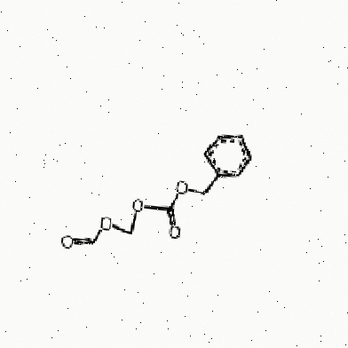 O=COCOC(=O)OCc1ccccc1